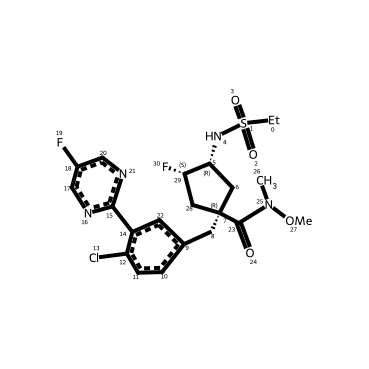 CCS(=O)(=O)N[C@@H]1C[C@@](Cc2ccc(Cl)c(-c3ncc(F)cn3)c2)(C(=O)N(C)OC)C[C@@H]1F